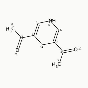 CC(=O)C1=CNC=C(C(C)=O)C1